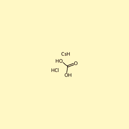 Cl.O=C(O)O.[CsH]